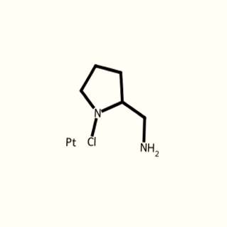 NCC1CCCN1Cl.[Pt]